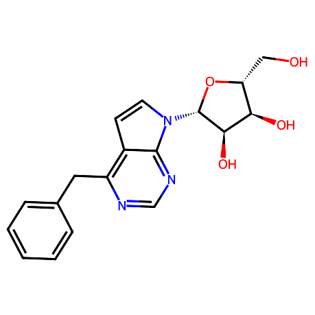 OC[C@H]1O[C@@H](n2ccc3c(Cc4ccccc4)ncnc32)[C@H](O)[C@@H]1O